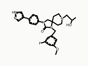 COc1cc(F)cc(CN2C(=O)N(c3ccc(-c4cn[nH]c4)cc3)CC23CCN(CC(C)O)CC3)c1